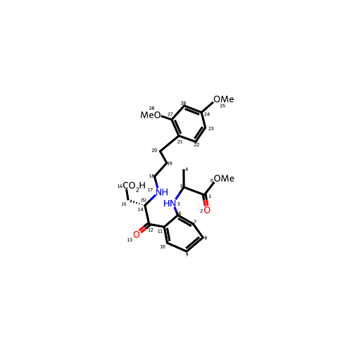 COC(=O)C(C)Nc1ccccc1C(=O)[C@H](CC(=O)O)NCCCc1ccc(OC)cc1OC